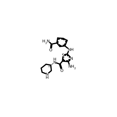 NC(=O)c1cccc(Nc2nc(N)c(C(=O)N[C@H]3CCCNC3)s2)c1